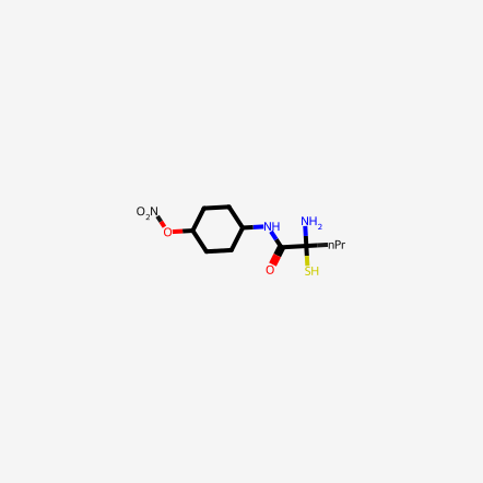 CCCC(N)(S)C(=O)NC1CCC(O[N+](=O)[O-])CC1